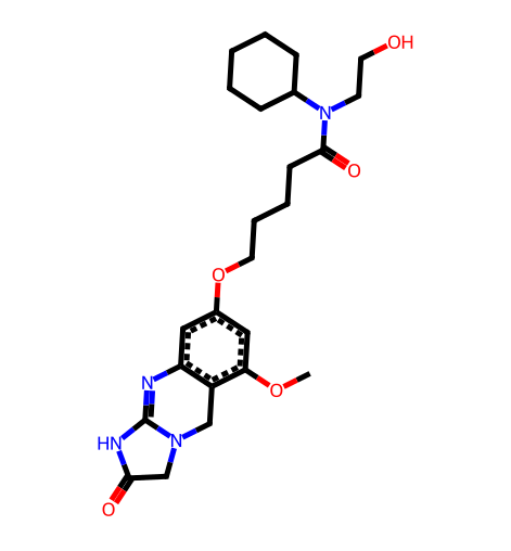 COc1cc(OCCCCC(=O)N(CCO)C2CCCCC2)cc2c1CN1CC(=O)NC1=N2